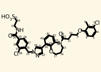 Cc1c(Cl)cccc1OCCCC(=O)N1CCCOc2c(-c3cnn(Cc4ccc(C(=O)NCCS(=O)(=O)O)cc4Cl)c3)cccc21